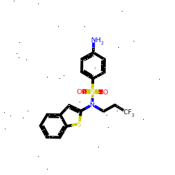 Nc1ccc(S(=O)(=O)N(CCC(F)(F)F)c2cc3ccccc3s2)cc1